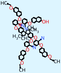 C#CCOc1ccc2ccc(Oc3cccc(Oc4cc5c(cc4Oc4cccc(Oc6ccc7ccc(O)cc7c6)c4C#N)C4(CC5(C)C)CC(C)(C)c5cc(Oc6cccc(Oc7ccc8ccc(OCC#C)cc8c7)c6C#N)c(Oc6cccc(Oc7ccc8ccc(OCC#C)cc8c7)c6C#N)cc54)c3C#N)cc2c1